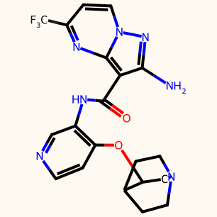 Nc1nn2ccc(C(F)(F)F)nc2c1C(=O)Nc1cnccc1OC1CN2CCC1CC2